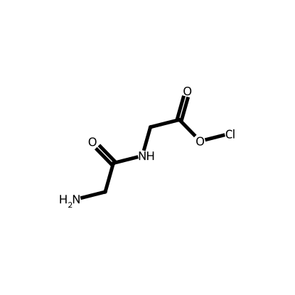 NCC(=O)NCC(=O)OCl